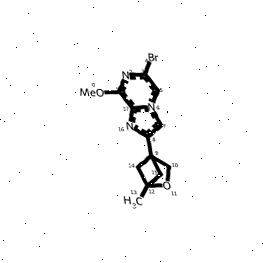 COc1nc(Br)cn2cc(C34COC(C)(C3)C4)nc12